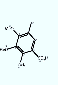 COc1c(C)cc(C(=O)O)c(N)c1OC